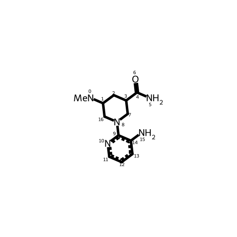 CNC1CC(C(N)=O)CN(c2ncccc2N)C1